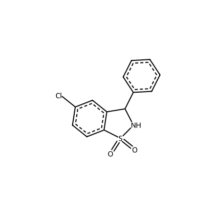 O=S1(=O)NC(c2ccccc2)c2cc(Cl)ccc21